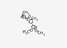 CCOc1cc(-c2cc(C)c3c(c2)CN(c2cnn(CC)c2)C3=O)cnc1OCC